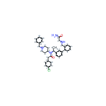 CC(c1cccc(-c2ccccc2CNCC(N)=O)c1)N(C(=O)Cc1ccc(Cl)cc1)C1CCN(Cc2ccccc2)CC1